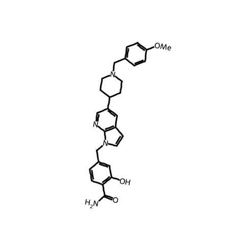 COc1ccc(CN2CCC(c3cnc4c(ccn4Cc4ccc(C(N)=O)c(O)c4)c3)CC2)cc1